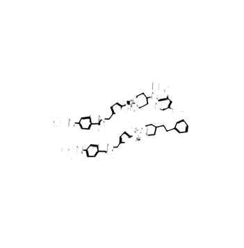 O=C(NCc1ccc(S(=O)(=O)N2CCC(CCc3ccccc3)CC2)s1)c1ccc([N+](=O)[O-])cc1.O=C(NCc1ccc(S(=O)(=O)N2CCC(Nc3ncc(C(F)(F)F)cc3Cl)CC2)s1)c1ccc([N+](=O)[O-])cc1